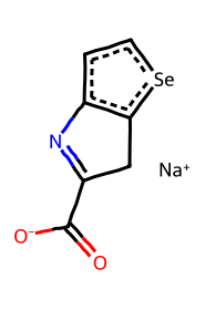 O=C([O-])C1=Nc2cc[se]c2C1.[Na+]